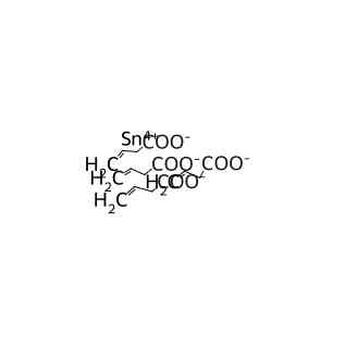 C=CCC(=O)[O-].C=CCC(=O)[O-].C=CCC(=O)[O-].C=CCC(=O)[O-].[Sn+4]